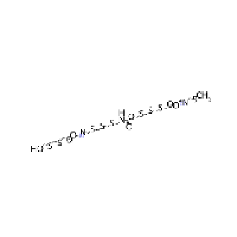 CSC/N=C/OOCSCSCSCOC(=O)NCSCSCSC/N=C/OOCSCSCO